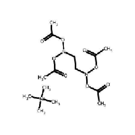 CC(=O)ON(CCN(OC(C)=O)OC(C)=O)OC(C)=O.C[N+](C)(C)C